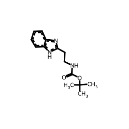 CC(C)(C)OC(=O)NCCc1nc2ccccc2[nH]1